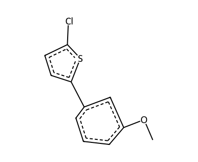 COc1cccc(-c2ccc(Cl)s2)c1